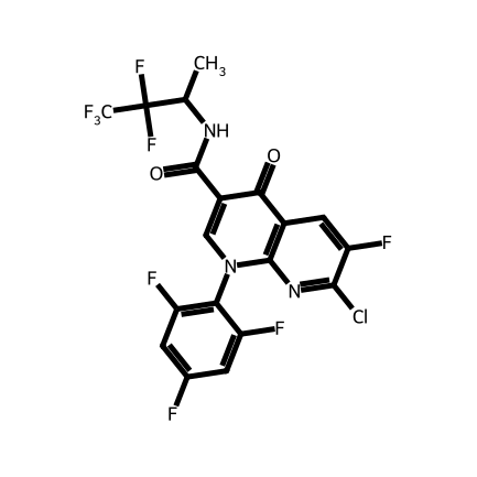 CC(NC(=O)c1cn(-c2c(F)cc(F)cc2F)c2nc(Cl)c(F)cc2c1=O)C(F)(F)C(F)(F)F